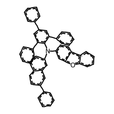 c1ccc(-c2cc(-c3ccccc3)c(N(c3ccc4ccc(-c5ccccc5)cc4c3)c3ccc4c(c3)oc3ccccc34)c(-c3ccccc3)c2)cc1